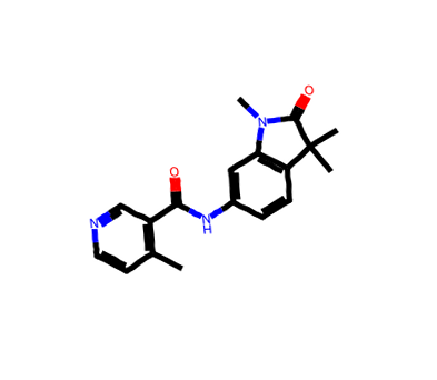 Cc1ccncc1C(=O)Nc1ccc2c(c1)N(C)C(=O)C2(C)C